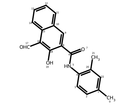 Cc1ccc(NC(=O)c2cc3ccccc3c(C=O)c2O)c(C)c1